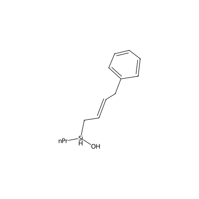 CCC[SiH](O)CC=CCc1ccccc1